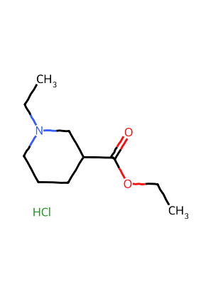 CCOC(=O)C1CCCN(CC)C1.Cl